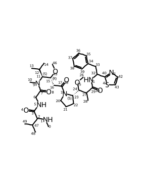 CNC(C(=O)NCC(=O)N(C)[C@@H](C(C)C)[C@@H](CC(=O)N1CCC[C@H]1C(OC)C(C)C(=O)NC(Cc1ccccc1)c1nccs1)OC)C(C)C